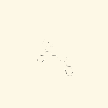 CC(C)(C)[SH](=O)(NC(CCCCC(N)c1ccccc1)c1ccccc1)C(C)(C)C